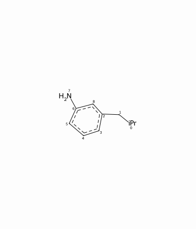 CC(C)Cc1cccc(N)c1